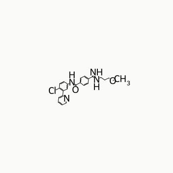 COCCCNC(=N)c1ccc(C(=O)Nc2ccc(Cl)c(-c3ccccn3)c2)cc1